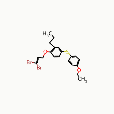 CCCc1cc(Sc2ccc(OCC)cc2)ccc1OCC=C(Br)Br